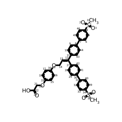 CS(=O)(=O)c1ccc(-c2ccc(C(=CCOc3ccc(OCC(=O)O)cc3)c3ccc(-c4ccc(S(C)(=O)=O)cc4)cc3)cc2)cc1